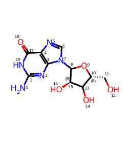 Nc1nc2c(ncn2C2O[C@H](CO)C(O)[C@H]2O)c(=O)[nH]1